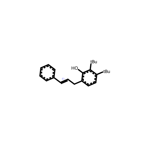 CC(C)(C)c1ccc(C/C=C/c2ccccc2)c(O)c1C(C)(C)C